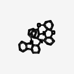 c1ccc(-n2c3ccccc3c3cccc(N4c5cccc6c5B5c7c(cccc7Oc7cccc4c75)O6)c32)cc1